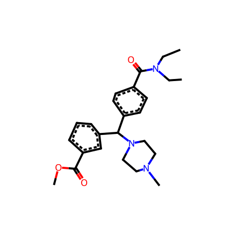 CCN(CC)C(=O)c1ccc(C(c2cccc(C(=O)OC)c2)N2CCN(C)CC2)cc1